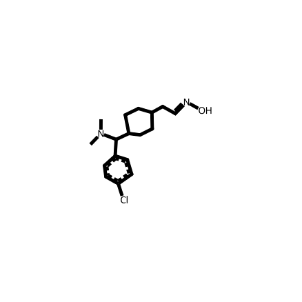 CN(C)C(c1ccc(Cl)cc1)C1CCC(C/C=N/O)CC1